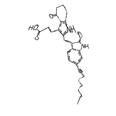 CCCCCCC#Cc1ccc2c(c1)NC(=O)/C2=C\c1[nH]c2c(c1CCC(=O)O)C(=O)CCC2